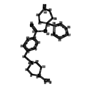 CN1CCN(Cc2ccc(C(=O)OC3(c4ccccc4)CCNCC3)cc2)CC1